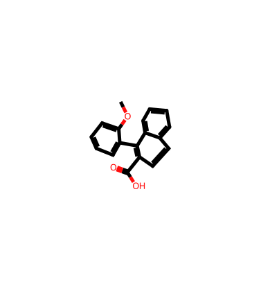 COc1ccccc1-c1c(C(=O)O)ccc2ccccc12